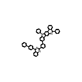 c1ccc(-c2ccc(-c3nc(-c4cccc(-c5ccc6c(c5)c5cc7nc(-c8ccccc8)c8ccccc8c7cc5n6-c5ccccc5)c4)nc4ccccc34)cc2)cc1